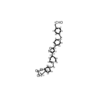 O=CCc1ccc(C[n+]2ccc(-c3cc(-c4cc[n+](Cc5ccc(CP(=O)(O)O)cc5)cc4)no3)cc2)cc1